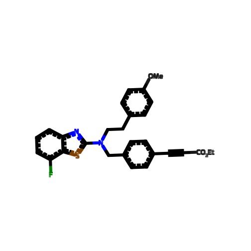 CCOC(=O)C#Cc1ccc(CN(CCc2ccc(OC)cc2)c2nc3cccc(F)c3s2)cc1